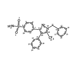 NS(=O)(=O)c1ccc(-c2nn(Cc3ccccc3)c(C(F)(F)F)c2-c2ccncc2)cc1